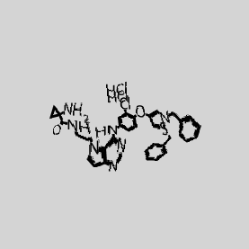 Cl.Cl.NC1(C(=O)NCCn2ccc3ncnc(Nc4ccc(OC5=CN(Cc6ccccc6)S(Cc6ccccc6)=C5)c(Cl)c4)c32)CC1